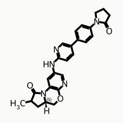 CC1C[C@H]2COc3ncc(Nc4ccc(-c5ccc(N6CCCC6=O)cc5)cn4)cc3N2C1=O